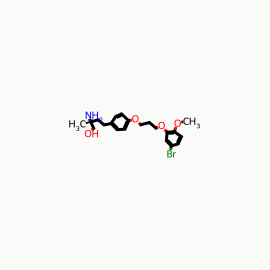 COc1ccc(Br)cc1OCCCOc1ccc(CC[C@@](C)(N)CO)cc1